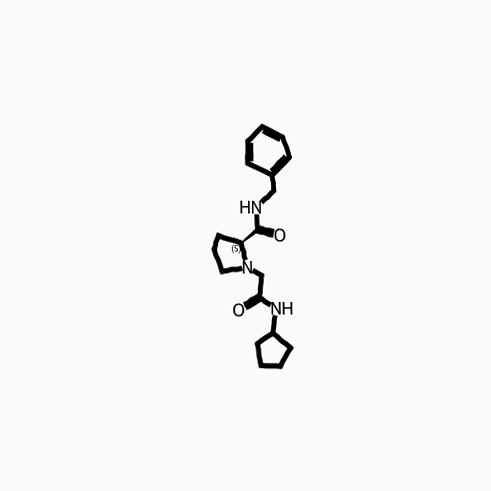 O=C(CN1CCC[C@H]1C(=O)NCc1ccccc1)NC1CCCC1